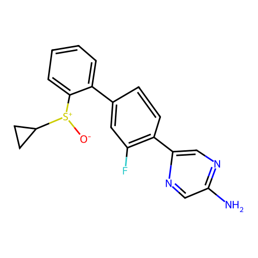 Nc1cnc(-c2ccc(-c3ccccc3[S+]([O-])C3CC3)cc2F)cn1